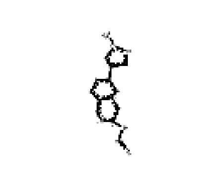 Cn1cc(-c2ccc3cnc(NC=O)cc3c2)cn1